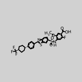 COc1cc(C(=O)O)c(F)cc1NS(=O)(=O)c1ccc2nc(-c3ccc([C@H]4CC[C@H](C(F)(F)F)CC4)cc3)sc2c1